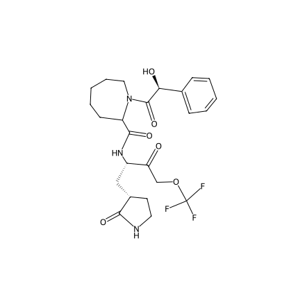 O=C(N[C@@H](C[C@@H]1CCNC1=O)C(=O)COC(F)(F)F)C1CCCCCN1C(=O)[C@@H](O)c1ccccc1